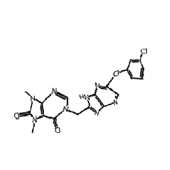 Cn1c(=O)n(C)c2c(=O)n(Cc3nc4ncc(Oc5cccc(Cl)c5)nc4[nH]3)cnc21